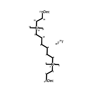 CCCCCCCCCCCC[N+](C)(C)CCCCCC[N+](C)(C)CCCCCCCCCCCC.[I-].[I-]